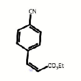 CCOC(=O)/C=C\c1ccc(C#N)cc1